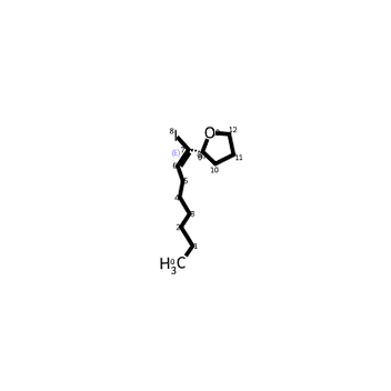 CCCCCC/C=C(/I)[C@H]1CCCO1